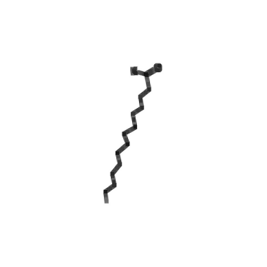 CCCCCCCCCCCCC[C](=O)[K]